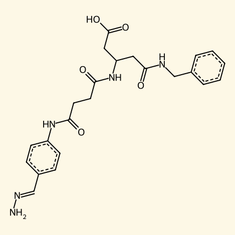 NN=Cc1ccc(NC(=O)CCC(=O)NC(CC(=O)O)CC(=O)NCc2ccccc2)cc1